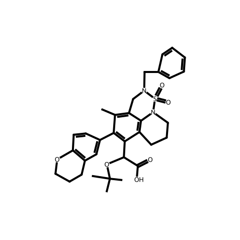 Cc1c2c3c(c(C(OC(C)(C)C)C(=O)O)c1-c1ccc4c(c1)CCCO4)CCCN3S(=O)(=O)N(Cc1ccccc1)C2